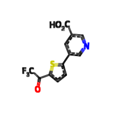 O=C(O)c1cncc(-c2ccc(C(=O)C(F)(F)F)s2)c1